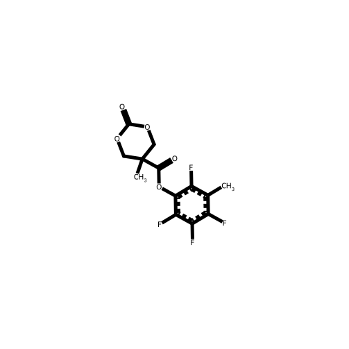 Cc1c(F)c(F)c(F)c(OC(=O)C2(C)COC(=O)OC2)c1F